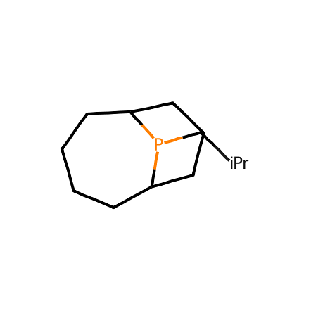 CC(C)CP1C2CCCCC1CCC2